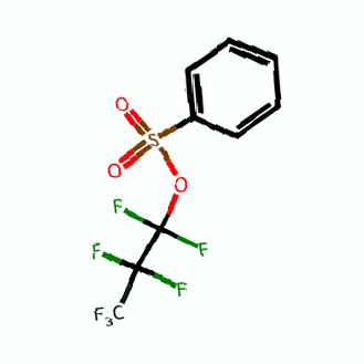 O=S(=O)(OC(F)(F)C(F)(F)C(F)(F)F)c1ccccc1